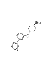 CC(C)(C)[C@H]1CC[C@H](Oc2cccc(-c3cccnc3)c2)CC1